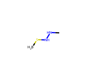 BSNNC